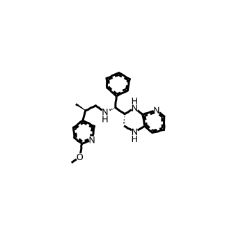 COc1ccc([C@@H](C)CN[C@H](c2ccccc2)[C@H]2CNc3cccnc3N2)cn1